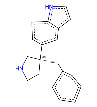 c1ccc(C[C@]2(c3ccc4[nH]ccc4c3)CCNC2)cc1